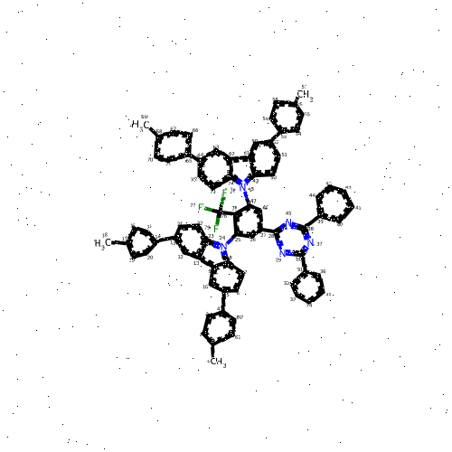 Cc1ccc(-c2ccc3c(c2)c2cc(-c4ccc(C)cc4)ccc2n3-c2cc(-c3nc(-c4ccccc4)nc(-c4ccccc4)n3)cc(-n3c4ccc(-c5ccc(C)cc5)cc4c4cc(-c5ccc(C)cc5)ccc43)c2C(F)(F)F)cc1